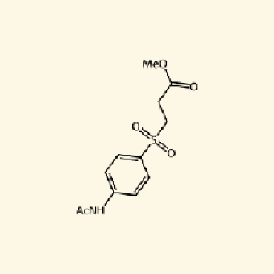 COC(=O)CCS(=O)(=O)c1ccc(NC(C)=O)cc1